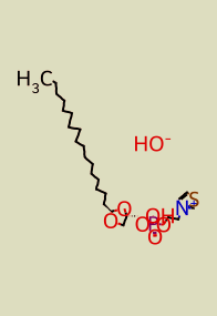 CCCCCCCCCCCCCCCCC[C@@H]1OC[C@@H](COP(=O)(O)OCC[n+]2ccsc2)O1.[OH-]